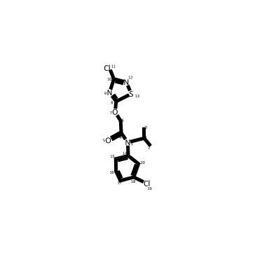 CC(C)N(C(=O)COc1nc(Cl)ns1)c1cccc(Cl)c1